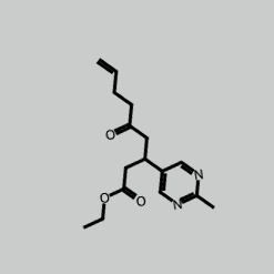 C=CCCC(=O)CC(CC(=O)OCC)c1cnc(C)nc1